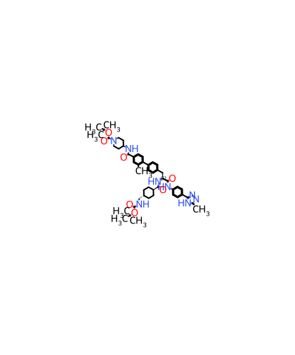 Cc1nnc(-c2ccc(NC(=O)[C@H](Cc3ccc(-c4ccc(C(=O)NC5CCN(C(=O)OC(C)(C)C)CC5)cc4C)cc3)NC(=O)[C@H]3CC[C@H](CNC(=O)OC(C)(C)C)CC3)cc2)[nH]1